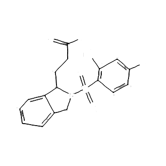 O=C(O)CCC1c2ccccc2CN1S(=O)(=O)c1ccc(O)cc1O